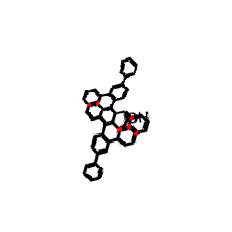 OC1CC2c3ccccc3C1C1C(c3ccc(-c4ccccc4)cc3-c3ccccc3)=c3ccccc3=C(c3ccc(-c4ccccc4)cc3-c3ccccc3)C21